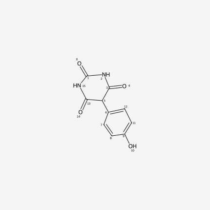 O=C1NC(=O)C(c2ccc(O)cc2)C(=O)N1